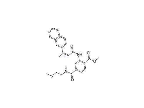 COC(=O)c1ccc(C(=O)NCCSC)cc1NC(=O)/C=C(/C)c1ccc2ccccc2c1